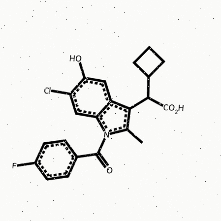 Cc1c(C(C(=O)O)C2CCC2)c2cc(O)c(Cl)cc2n1C(=O)c1ccc(F)cc1